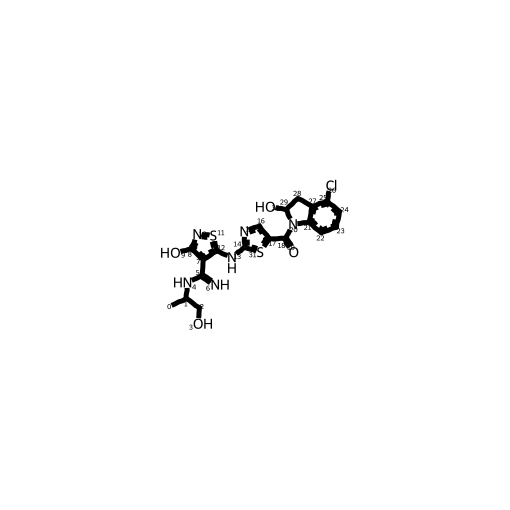 CC(CO)NC(=N)c1c(O)nsc1Nc1ncc(C(=O)N2c3cccc(Cl)c3CC2O)s1